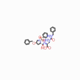 O=C(NCc1ccccc1)NC[C@H](NC(=O)[C@@H]1C[C@@H](OCc2ccccc2)CN1S(=O)(=O)c1ccccc1)C(=O)O